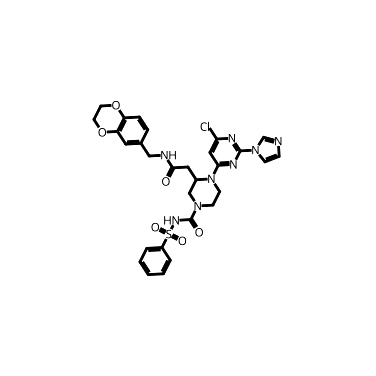 O=C(CC1CN(C(=O)NS(=O)(=O)c2ccccc2)CCN1c1cc(Cl)nc(-n2ccnc2)n1)NCc1ccc2c(c1)OCCO2